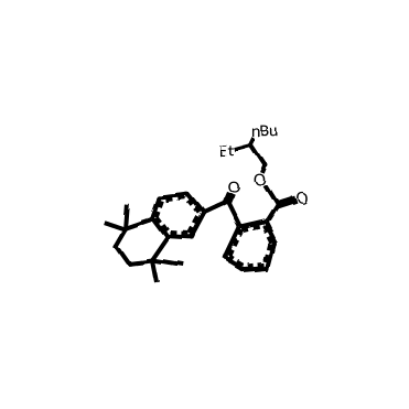 CCCCC(CC)COC(=O)c1ccccc1C(=O)c1ccc2c(c1)C(C)(C)CCC2(C)C